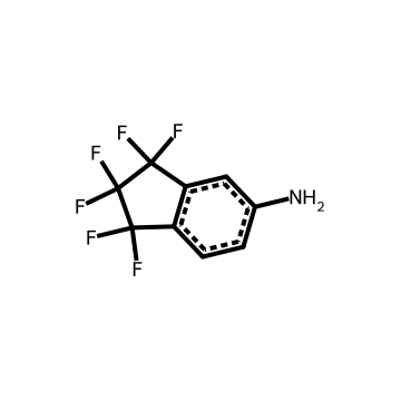 Nc1ccc2c(c1)C(F)(F)C(F)(F)C2(F)F